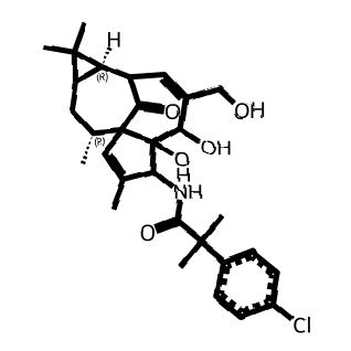 CC1=CC23C(=O)C(C=C(CO)C(O)C2(O)C1NC(=O)C(C)(C)c1ccc(Cl)cc1)[C@H]1C(C[C@H]3C)C1(C)C